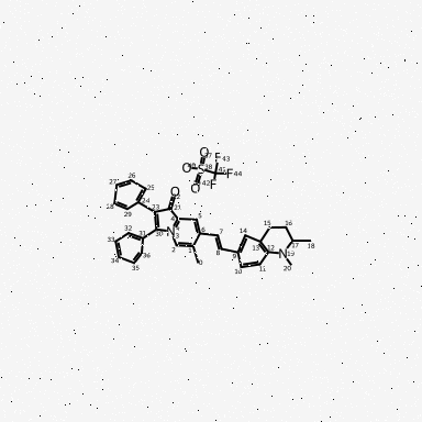 Cc1c[n+]2c(cc1C=Cc1ccc3c(c1)CCC(C)N3C)C(=O)C(c1ccccc1)=C2c1ccccc1.O=S(=O)([O-])C(F)(F)F